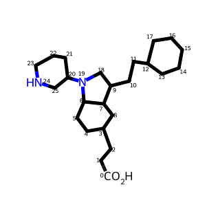 O=C(O)CCC1CCC2C(C1)C(CCC1CCCCC1)CN2C1CCCNC1